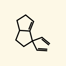 C=CC1(C=C)CCC2CCC=C21